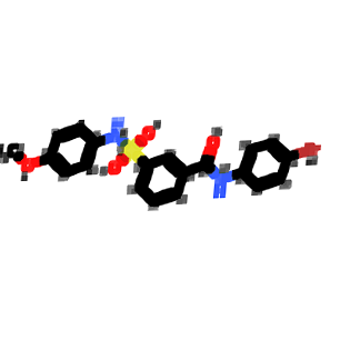 COc1ccc(NS(=O)(=O)c2cccc(C(=O)Nc3ccc(Br)cc3)c2)cc1